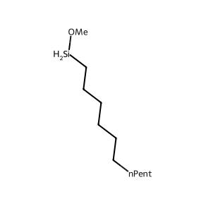 CCCCCCCCCCC[SiH2]OC